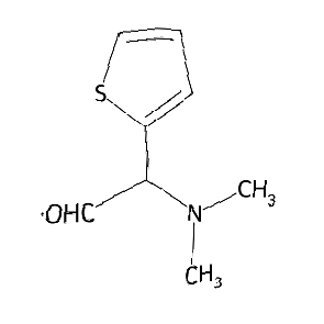 CN(C)C([C]=O)c1cccs1